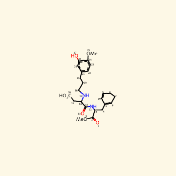 COC(=O)[C@H](CC1=CCCC=C1)NC(=O)C(CC(=O)O)NCCCc1ccc(OC)c(O)c1